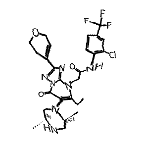 CCc1c(N2C[C@@H](C)NC[C@@H]2C)c(=O)n2nc(C3=CCOCC3)nc2n1CC(=O)Nc1ccc(C(F)(F)F)cc1Cl